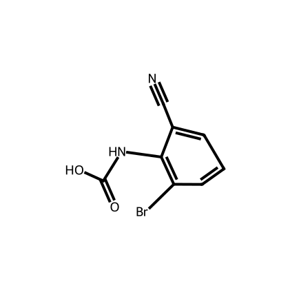 N#Cc1cccc(Br)c1NC(=O)O